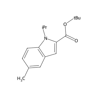 Cc1ccc2c(c1)cc(C(=O)OC(C)(C)C)n2C(C)C